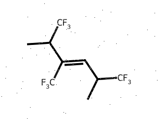 CC(C=C(C(C)C(F)(F)F)C(F)(F)F)C(F)(F)F